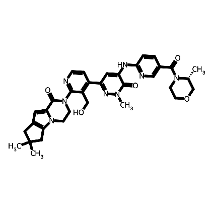 C[C@@H]1COCCN1C(=O)c1ccc(Nc2cc(-c3ccnc(N4CCn5c(cc6c5CC(C)(C)C6)C4=O)c3CO)nn(C)c2=O)nc1